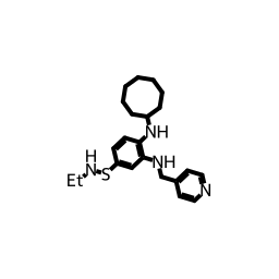 CCNSc1ccc(NC2CCCCCCC2)c(NCc2ccncc2)c1